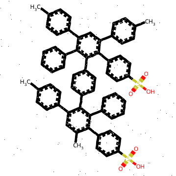 Cc1ccc(-c2cc(C)c(-c3ccc(S(=O)(=O)O)cc3)c(-c3ccccc3)c2-c2ccc(-c3c(-c4ccccc4)c(-c4ccc(C)cc4)cc(-c4ccc(C)cc4)c3-c3ccc(S(=O)(=O)O)cc3)cc2)cc1